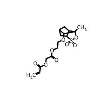 C=CC(=O)OCC(=O)OCCOC1C2CC3C(C2)S(=O)(=O)OC31C